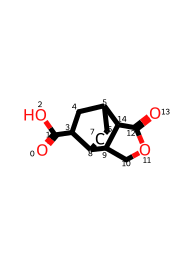 O=C(O)C1CC2CCC1C1COC(=O)C21